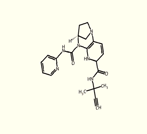 C#CC(C)(C)NC(=O)C1C=CC2=C(N1)N(C(=O)Nc1ccccn1)[C@H]1CCN2C1